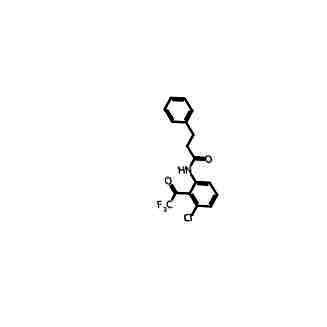 O=C(CCc1ccccc1)Nc1cccc(Cl)c1C(=O)C(F)(F)F